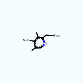 CCCC(C)Cc1ncc(C)c(OC)c1C